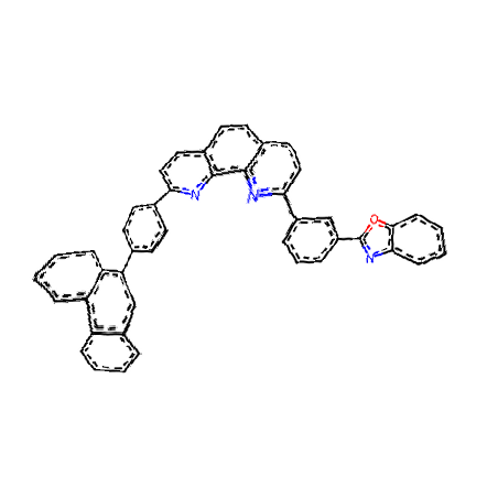 c1cc(-c2ccc3ccc4ccc(-c5ccc(-c6cc7ccccc7c7ccccc67)cc5)nc4c3n2)cc(-c2nc3ccccc3o2)c1